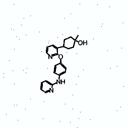 CC1(O)CCC(c2cccnc2Oc2ccc(Nc3ccccn3)cc2)CC1